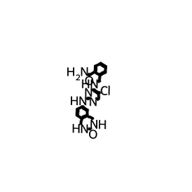 NC(=O)c1ccccc1CNc1nc(Nc2ccc3c(c2)CNC(=O)NC3)ncc1Cl